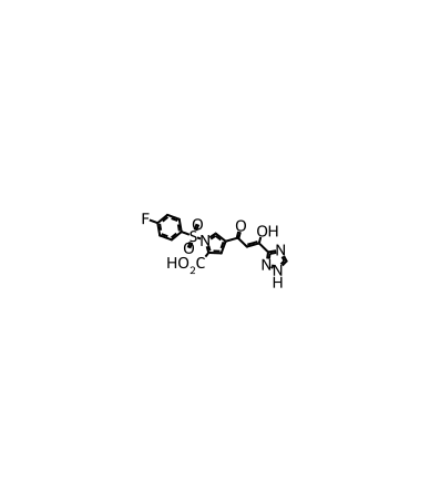 O=C(C=C(O)c1nc[nH]n1)c1cc(C(=O)O)n(S(=O)(=O)c2ccc(F)cc2)c1